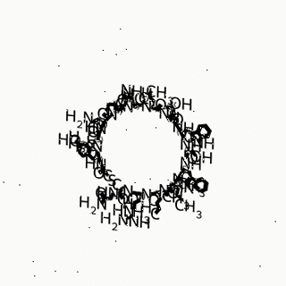 CCCC[C@H]1C(=O)N(C)[C@@H](CCCC)C(=O)N[C@@H](CCCNC(=N)N)C(=O)NC(C(=O)NCC(N)=O)CSCC(=O)N[C@@H](Cc2ccc(O)cc2)C(=O)N(C)[C@@H](C)C(=O)N[C@@H](CC(N)=O)C(=O)N2CCC[C@H]2C(=O)N[C@@H](CC(N)=O)C(=O)N[C@@H](CC(C)C)C(=O)N2C[C@H](O)C[C@H]2C(=O)N[C@@H](Cc2c[nH]c3ccccc23)C(=O)N[C@@H](CO)C(=O)N[C@@H](Cc2c[nH]c3ccccc23)C(=O)N1C